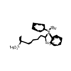 C=C(CCCCC([Si](c1ccccc1)(c1ccccc1)C(C)(C)C)S(=O)(=O)O)C(=O)O